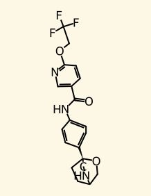 O=C(Nc1ccc([C@@]23CCC(CO2)NC3)cc1)c1ccc(OCC(F)(F)F)nc1